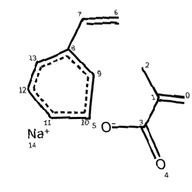 C=C(C)C(=O)[O-].C=Cc1ccccc1.[Na+]